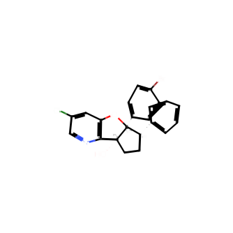 O[C@@]12CC[C@@H](c3ccccc3)[C@]1(c1ccc(Br)cc1)Oc1cc(Cl)cnc12